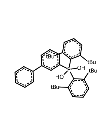 CC(C)(C)c1cccc(C(C)(C)C)c1P(O)(O)(c1cccc(-c2ccccc2)c1)c1c(C(C)(C)C)cccc1C(C)(C)C